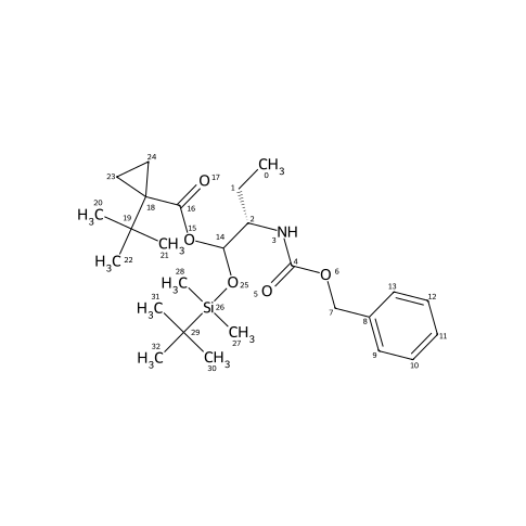 CC[C@H](NC(=O)OCc1ccccc1)C(OC(=O)C1(C(C)(C)C)CC1)O[Si](C)(C)C(C)(C)C